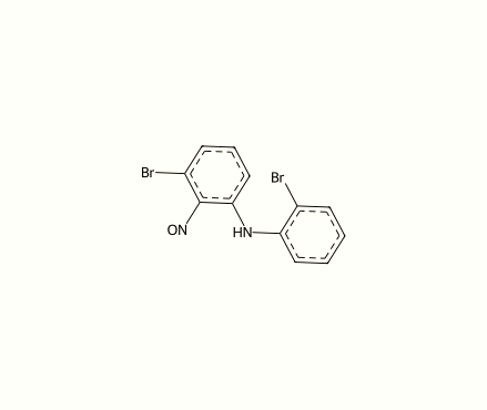 O=Nc1c(Br)cccc1Nc1ccccc1Br